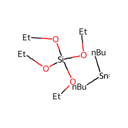 CCC[CH2][Sn][CH2]CCC.CCO[Si](OCC)(OCC)OCC